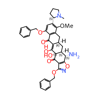 COc1c([C@@H]2CCCN2C)cc(OCc2ccccc2)c2c1C[C@H]1C[C@H]3[C@H](N)c4onc(OCc5ccccc5)c4C(=O)[C@@]3(O)C(O)=C1C2=O